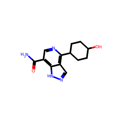 NC(=O)c1cnc(C2CCC(O)CC2)c2cn[nH]c12